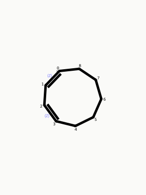 [C]1=C\C=C/CCCCC/1